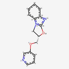 c1cncc(OC[C@@H]2Cn3c(nc4ccccc43)O2)c1